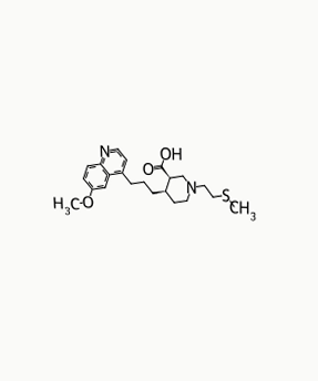 COc1ccc2nccc(CCC[C@@H]3CCN(CCSC)C[C@@H]3C(=O)O)c2c1